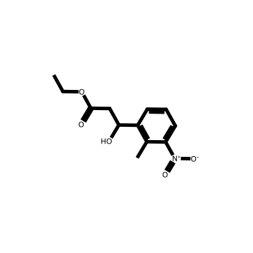 CCOC(=O)CC(O)c1cccc([N+](=O)[O-])c1C